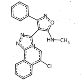 CNc1onc(-c2ccccc2)c1-c1nnc2c3ccccc3c(Cl)cn12